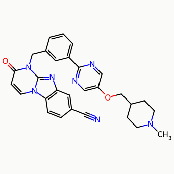 CN1CCC(COc2cnc(-c3cccc(Cn4c(=O)ccn5c6ccc(C#N)cc6nc45)c3)nc2)CC1